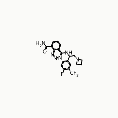 NC(=O)c1cccc2c(NC(CN3CCC3)c3ccc(F)c(C(F)(F)F)c3)nnnc12